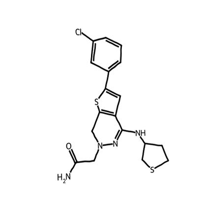 NC(=O)CN1Cc2sc(-c3cccc(Cl)c3)cc2C(NC2CCSC2)=N1